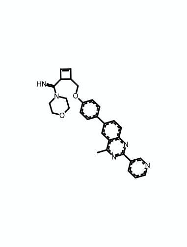 Cc1nc(-c2cccnc2)nc2ccc(-c3ccc(OCC4C=CC4C(=N)N4CCOCC4)cc3)cc12